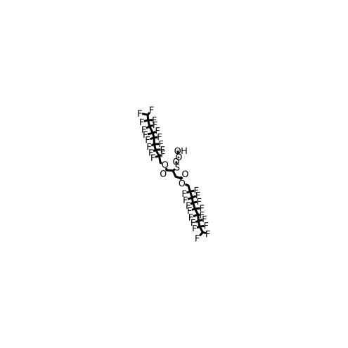 O=C(CC(SOOO)C(=O)OCC(F)(F)C(F)(F)C(F)(F)C(F)(F)C(F)(F)C(F)(F)C(F)(F)C(F)F)OCC(F)(F)C(F)(F)C(F)(F)C(F)(F)C(F)(F)C(F)(F)C(F)(F)C(F)F